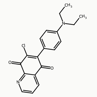 CCN(CC)c1ccc(C2=C(Cl)C(=O)c3ncccc3C2=O)cc1